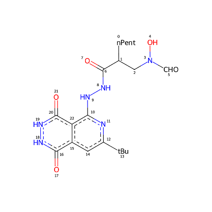 CCCCCC(CN(O)C=O)C(=O)NNc1nc(C(C)(C)C)cc2c(=O)[nH][nH]c(=O)c12